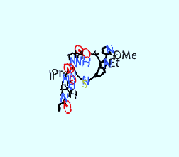 C=CC(=O)N1CC[C@H]2[C@@H](C1)CN2C(=O)N(C)C(C(=O)N[C@H]1Cc2nc(cs2)-c2ccc3c(c2)c(c(-c2cccnc2[C@H](C)OC)n3CC)CC(C)(C)COC(=O)[C@@H]2CCCN(N2)C1=O)C(C)C